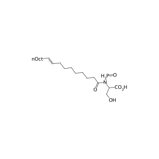 CCCCCCCCC=CCCCCCCCC(=O)N([PH2]=O)C(CO)C(=O)O